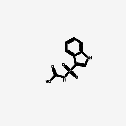 O=C(O)NS(=O)(=O)c1c[nH]c2ccccc12